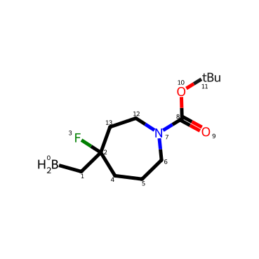 BCC1(F)CCCN(C(=O)OC(C)(C)C)CC1